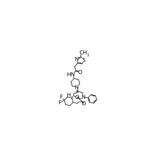 Cc1nc(CC(=O)NC2CCN([C@H](C)CN(c3ccccc3)S(=O)(=O)CC3CCC(F)(F)CC3)CC2)cs1